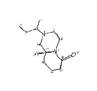 CCC(C)N1CCN2C(=O)CCC[C@@H]2C1